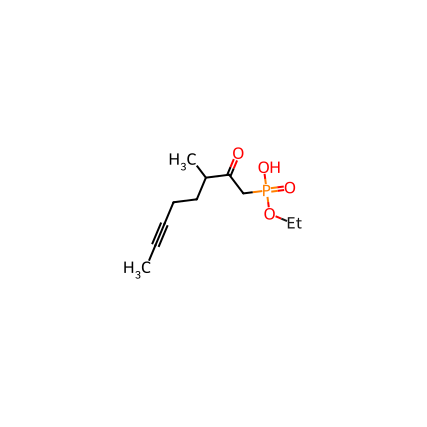 CC#CCCC(C)C(=O)CP(=O)(O)OCC